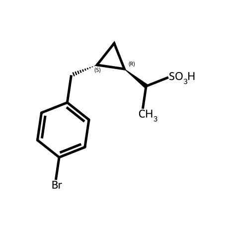 CC([C@@H]1C[C@H]1Cc1ccc(Br)cc1)S(=O)(=O)O